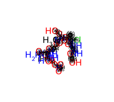 CC(C)[C@H](NC(=O)OCCOCCN1C(=O)C=CC1=O)C(=O)N[C@@H](CCCNC(N)=O)C(=O)Nc1ccc(COC(=O)N(C)CCN(CCOCCO)C(=O)Oc2cc3c(c4ccccc24)[C@H](CCl)CN3C(=O)c2cc3cc(NC(=O)C4=CC=C(O)CC4)ncc3[nH]2)cc1